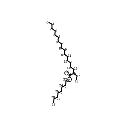 CCCCCCCCCCCCCCCCC(CC)C(=O)OCCCCCCCC